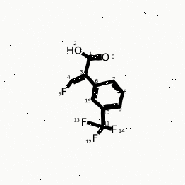 O=C(O)/C(=C/F)c1cccc(C(F)(F)F)c1